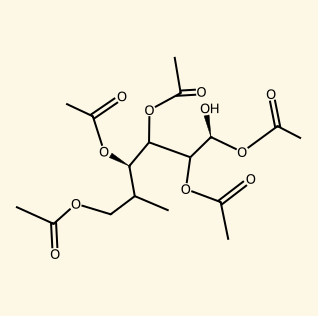 CC(=O)OCC(C)[C@@H](OC(C)=O)C(OC(C)=O)C(OC(C)=O)[C@@H](O)OC(C)=O